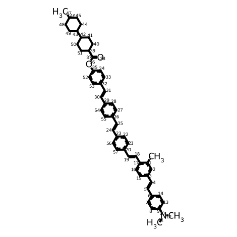 Cc1cc(C=Cc2ccc(N(C)C)cc2)ccc1C=Cc1ccc(C=Cc2ccc(C=Cc3ccc(OC(=O)C4CCC(C5CCC(C)CC5)CC4)cc3)cc2)cc1